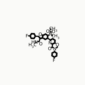 CNC(=O)c1c(-c2ccc(F)cc2)oc2cc(N(C)S(C)(=O)=O)c(-c3ccc4c(n3)C(=O)N(c3ccc(F)cc3)CO4)cc12